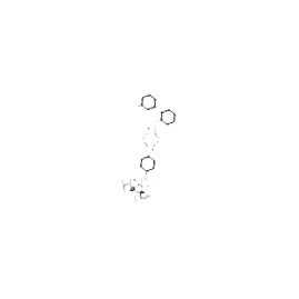 CC(C)(C)S(=O)(=O)NC(=O)c1ccc(N2CCN(Cc3ccccc3-c3cccc(O)c3)CC2)cc1